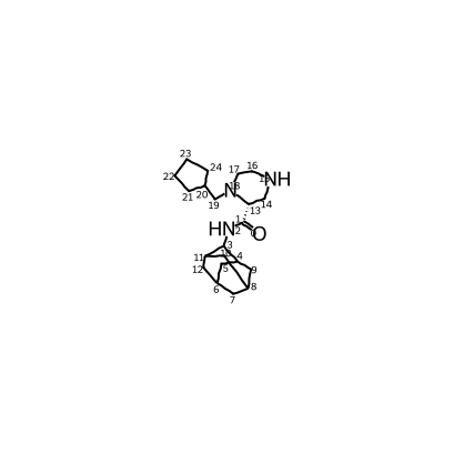 O=C(NC1C2CC3CC(C2)CC1C3)[C@H]1CNCCN1CC1CCCC1